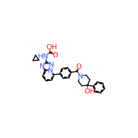 C1CC1.O=C(O)Nc1nc2cccc(-c3ccc(C(=O)N4CCC(O)(c5ccccc5)CC4)cc3)n2n1